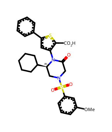 COc1cccc(S(=O)(=O)N2CC(=O)N(c3cc(-c4ccccc4)sc3C(=O)O)[C@H](C3CCCCC3)C2)c1